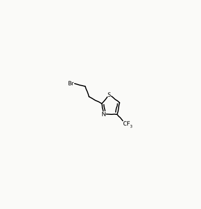 FC(F)(F)c1csc(CCBr)n1